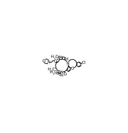 CO[C@@]1(COCCN2CCOCC2)/C=C/C[C@H](C)[C@@H](C)S(=O)(=O)NC(=O)c2ccc3c(c2)N(CCCCc2cc(Cl)ccc2CO3)C[C@@H]2CC[C@H]21